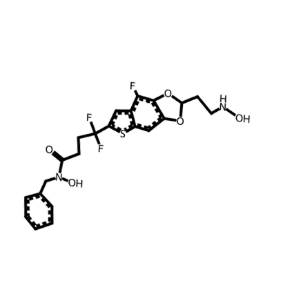 O=C(CCC(F)(F)c1cc2c(F)c3c(cc2s1)OC(CCNO)O3)N(O)Cc1ccccc1